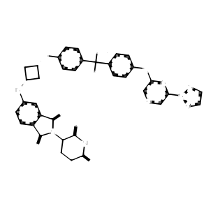 CC(C)(c1ccc(Oc2cncc(-n3nccn3)n2)cc1)c1ccc(O[C@H]2C[C@H](Nc3ccc4c(c3)C(=O)N(C3CCC(=O)NC3=O)C4=O)C2)cc1